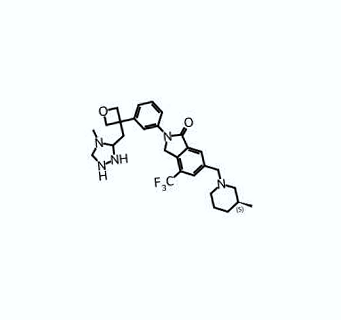 C[C@H]1CCCN(Cc2cc3c(c(C(F)(F)F)c2)CN(c2cccc(C4(CC5NNCN5C)COC4)c2)C3=O)C1